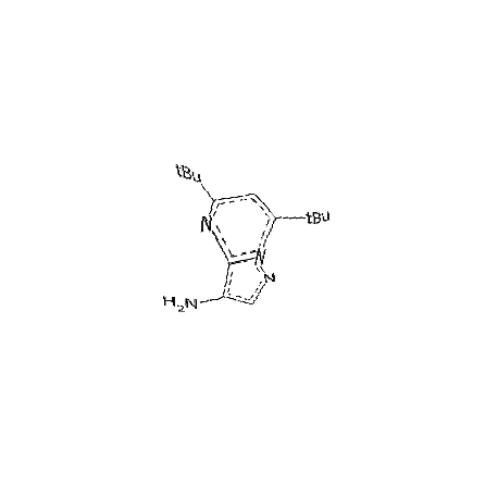 CC(C)(C)c1cc(C(C)(C)C)n2ncc(N)c2n1